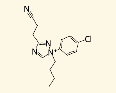 CCCC[N+]1(c2ccc(Cl)cc2)C=NC(CCC#N)=N1